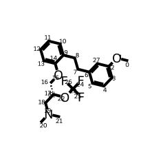 COc1cccc(CCc2ccccc2OC[C@@H](CN(C)C)OC(F)(F)F)c1